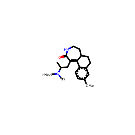 CCCCCCCN(C(C)C)C(C)CC1=C2c3ccc(OC)cc3CCC2CCNC1=O